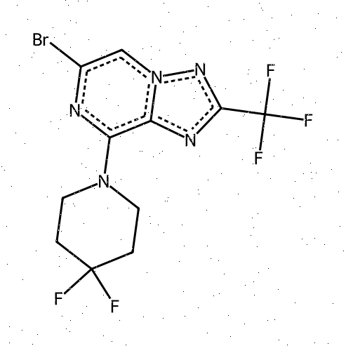 FC1(F)CCN(c2nc(Br)cn3nc(C(F)(F)F)nc23)CC1